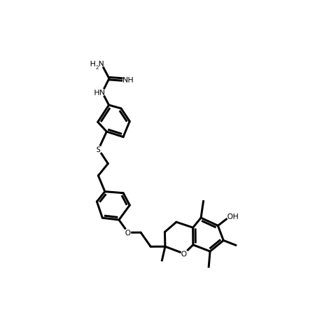 Cc1c(C)c2c(c(C)c1O)CCC(C)(CCOc1ccc(CCSc3cccc(NC(=N)N)c3)cc1)O2